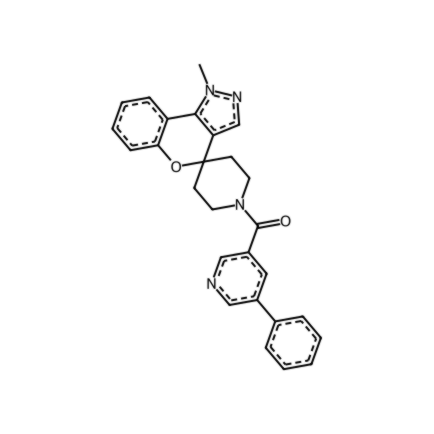 Cn1ncc2c1-c1ccccc1OC21CCN(C(=O)c2cncc(-c3ccccc3)c2)CC1